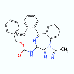 COc1ccccc1C1=NC(NC(=O)OCc2ccccc2)c2nnc(C)n2-c2ccccc21